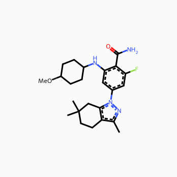 COC1CCC(Nc2cc(-n3nc(C)c4c3CC(C)(C)CC4)cc(F)c2C(N)=O)CC1